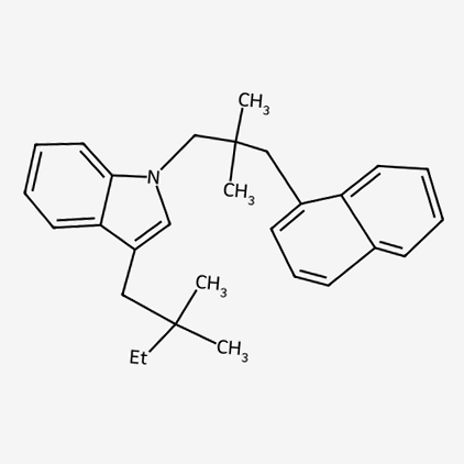 CCC(C)(C)Cc1cn(CC(C)(C)Cc2cccc3ccccc23)c2ccccc12